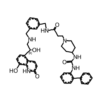 O=C(CCN1CCC(NC(=O)Nc2ccccc2-c2ccccc2)CC1)NCc1cccc(CNC[C@H](O)c2ccc(O)c3[nH]c(=O)ccc23)c1